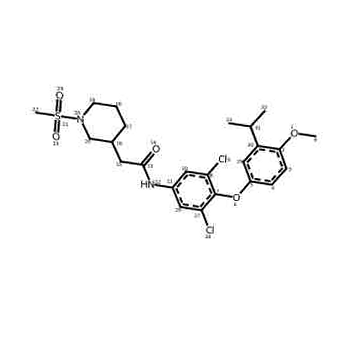 COc1ccc(Oc2c(Cl)cc(NC(=O)CC3CCCN(S(C)(=O)=O)C3)cc2Cl)cc1C(C)C